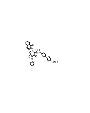 COc1ccc(-c2ccc(CC[C@H](O)[C@H](CCn3nnc4ccccc4c3=O)C(=O)N3C(=O)SC[C@@H]3Cc3ccccc3)cc2)nc1